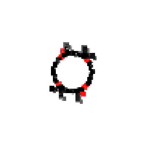 CC1CCCC(C)(C)OCCCCCCOC(=O)C(C)CCCC(C)(C)OCCCCCCOC1=O